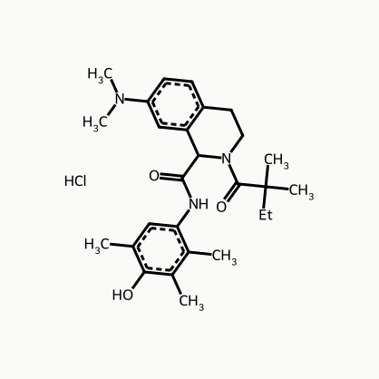 CCC(C)(C)C(=O)N1CCc2ccc(N(C)C)cc2C1C(=O)Nc1cc(C)c(O)c(C)c1C.Cl